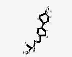 NC(=S)NN=Cc1ccc(-c2ccc(C(F)(F)F)cc2)cc1